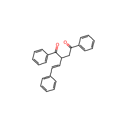 O=C(CC(C=Cc1ccccc1)C(=O)c1ccccc1)c1ccccc1